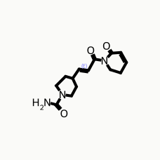 NC(=O)N1CCC(/C=C/C(=O)N2CCC=CC2=O)CC1